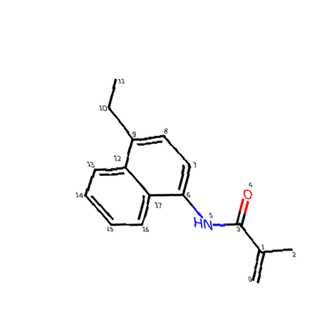 C=C(C)C(=O)Nc1ccc(CC)c2ccccc12